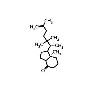 C=C(C)CCC(C)(C)[C@H](C)C1CCC2C(=O)CCC[C@@]21C